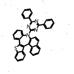 c1ccc(-c2nc(-c3ccccc3)nc(N3c4ccccc4-c4sc5ccccc5c4-c4c3ccc3ccccc43)n2)cc1